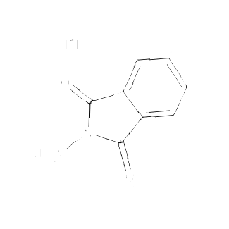 Cl.O=C(O)N1C(=O)c2ccccc2C1=O